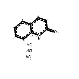 Cl.Cl.Cl.O=c1ccc2ccccc2[nH]1